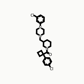 O=C(N1CCCC(CN2CCN(c3cccc(Cl)c3)CC2)C1)C1(c2ccc(Cl)cc2)CCC1